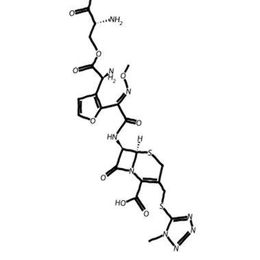 CO/N=C(/C(=O)N[C@@H]1C(=O)N2C(C(=O)O)=C(CSc3nnnn3C)CS[C@H]12)c1occc1[C@H](N)C(=O)OC[C@@H](N)C(=O)O